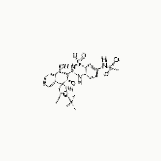 CCCC1(NOC(C)(C)C)C(=O)C(C2=NS(=O)(=O)c3cc(NS(C)(=O)=O)ccc3N2)=C(O)c2ccccc21